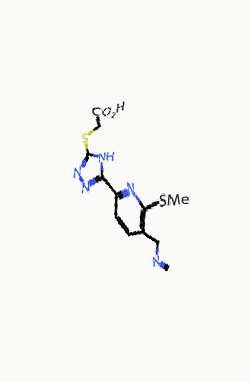 C=NCc1ccc(-c2nnc(SCC(=O)O)[nH]2)nc1SC